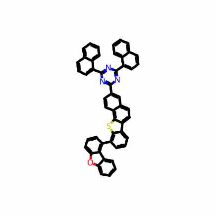 c1ccc2c(-c3nc(-c4ccc5c(ccc6c7cccc(-c8cccc9oc%10ccccc%10c89)c7sc56)c4)nc(-c4cccc5ccccc45)n3)cccc2c1